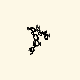 CCn1cc(-c2cnc3ccc(Oc4cc(NC(=O)Nc5cccc(F)c5)ccc4F)cc3n2)cn1